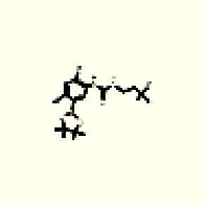 Cc1cc(F)c(NC(=O)NCCC(F)(F)F)cc1B1OC(C)(C)C(C)(C)O1